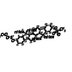 CCCCCCC1(CCCCCC)c2cc(OSOOC(F)(F)F)ccc2-c2ccc3c4c(ccc3c21)-c1ccc(OS(=O)(=O)C(F)(F)F)cc1C4(CCCCCC)CCCCCC